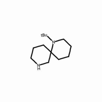 CC(C)(C)N1CCCCC12CCCNC2